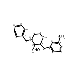 Cc1cccc(CC2OCCN(Cc3ccccc3)C2C=O)c1